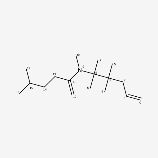 C=CCC(C)(C)C(C)(C)N(C)C(=C)CCC(C)C